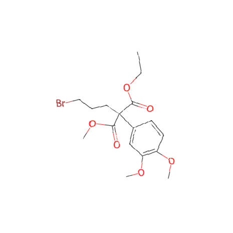 CCOC(=O)C(CCCBr)(C(=O)OC)c1ccc(OC)c(OC)c1